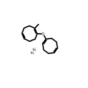 CC1=C(OC2=CCCC=CCC2)CCC=CCC1.[In].[In]